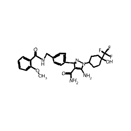 COc1ccccc1C(=O)NCc1ccc(-c2nn(C3CCC(O)(C(F)(F)F)CC3)c(N)c2C(N)=O)cc1